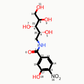 O=C(NC[C@@H](O)[C@H](O)C(O)CO)c1ccc([N+](=O)[O-])c(O)c1